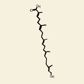 C/C(=C\CO)CC/C=C(\C)CC/C=C(\C)CC/C=C(\C)CC/C=C(\C)C(=O)O